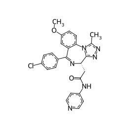 COc1ccc2c(c1)C(c1ccc(Cl)cc1)=N[C@@H](CC(=O)Nc1ccncc1)c1nnc(C)n1-2